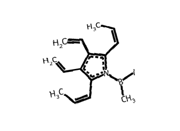 C=Cc1c(C=C)c(/C=C\C)n(B(C)I)c1/C=C\C